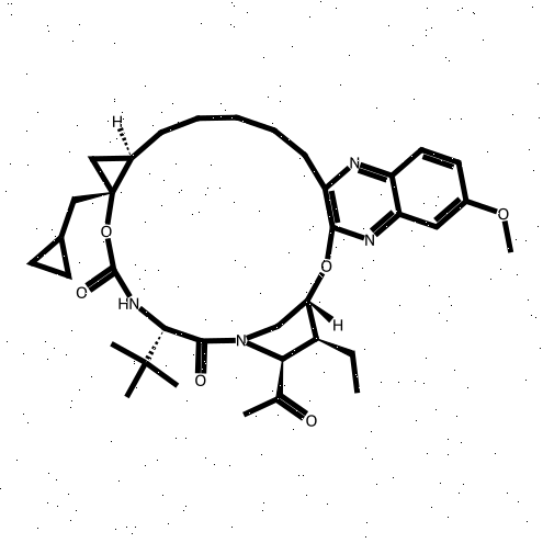 CC[C@@H]1[C@@H]2CN(C(=O)[C@H](C(C)(C)C)NC(=O)O[C@]3(CC4CC4)C[C@H]3CCCCCc3nc4ccc(OC)cc4nc3O2)[C@@H]1C(C)=O